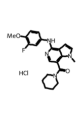 COc1ccc(Nc2ncc(C(=O)N3CCCCC3)c3c2ccn3C)cc1F.Cl